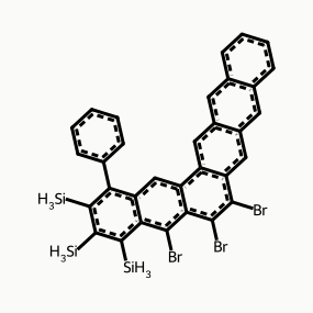 [SiH3]c1c([SiH3])c([SiH3])c2c(Br)c3c(Br)c(Br)c4cc5cc6ccccc6cc5cc4c3cc2c1-c1ccccc1